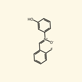 [O-][N+](=Cc1ccccc1F)c1cccc(O)c1